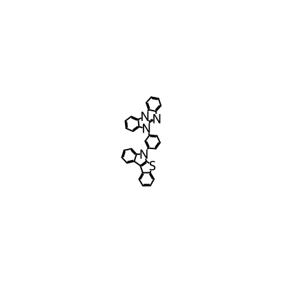 c1cc(-n2c3ccccc3c3c4ccccc4sc32)cc(-n2c3ccccc3n3c4ccccc4nc23)c1